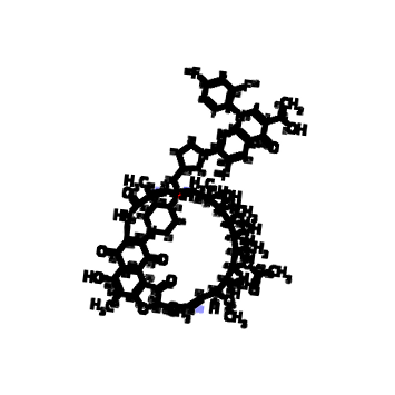 C=C(O)c1cn(-c2ccc(F)cc2F)c2nc(N3CCC(CNC4CCN(C5=C6NC(=O)/C(C)=C\C=C\[C@H](C)[C@H](O)[C@@H](C)[C@@H](O)[C@@H](C)[C@H](OC(C)=O)[C@H](C)[C@@H](OC)/C=C/O[C@@]7(C)Oc8c(C)c(O)c(c(c8C7=O)C5=O)C6=O)CC4)C3)c(F)cc2c1=O